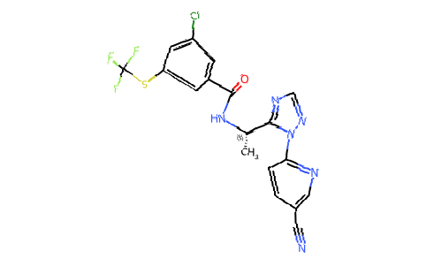 C[C@H](NC(=O)c1cc(Cl)cc(SC(F)(F)F)c1)c1ncnn1-c1ccc(C#N)cn1